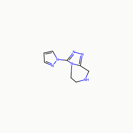 c1cnn(-c2nnc3n2CCNC3)c1